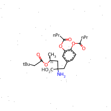 CCCC(=O)Oc1ccc(CC(N)(C[C@H](C)OC(=O)CC(C)(C)C)C(=O)O)cc1OC(=O)CCC